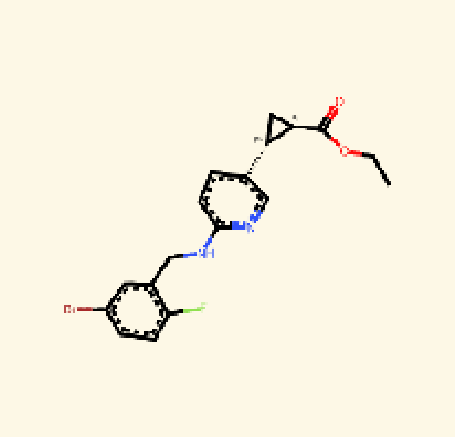 CCOC(=O)[C@@H]1C[C@H]1c1ccc(NCc2cc(Br)ccc2F)nc1